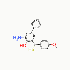 COc1ccc(C(S)c2cc(-c3ccccc3)cc(N)c2O)cc1